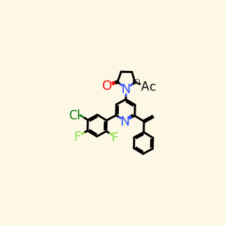 C=C(c1ccccc1)c1cc(N2C(=O)CC[C@H]2C(C)=O)cc(-c2cc(Cl)c(F)cc2F)n1